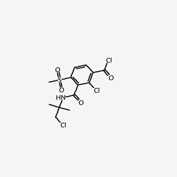 CC(C)(CCl)NC(=O)c1c(S(C)(=O)=O)ccc(C(=O)Cl)c1Cl